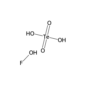 O=[Te](=O)(O)O.OF